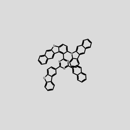 c1ccc2cc(-c3nc(-c4ccc5oc6ccccc6c5c4)nc(-c4c(-n5c6ccccc6c6cc7ccccc7cc65)ccc5sc6cc7ccccc7cc6c45)n3)ccc2c1